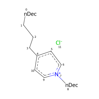 CCCCCCCCCCCCCc1cc[n+](CCCCCCCCCC)cc1.[Cl-]